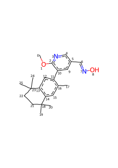 COc1ncc(C=NO)cc1-c1cc2c(cc1C)C(C)(C)CCC2(C)C